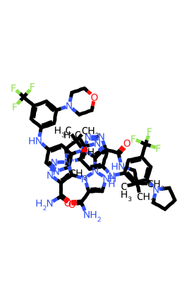 Cc1ncc(Nc2cc(N3CCOCC3)cc(C(F)(F)F)c2)cc1-n1nnc(C(=O)NCC(C)(C)C)c1N1NC=C(C(N)=O)N1C1=C(C(N)=O)N=N[N+]1(CC(C)(C)C)c1cc(Nc2cc(N3CCCC3)cc(C(F)(F)F)c2)cnc1C